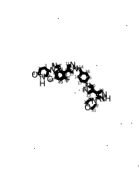 O=C1CCC(n2ncc3c(-c4cnn(CC5CCC(n6cc(-c7cn[nH]c7N7CCOCC7)cn6)CC5)c4)c(F)ccc32)C(=O)N1